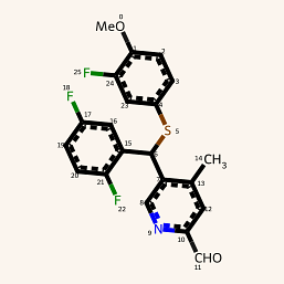 COc1ccc(SC(c2cnc(C=O)cc2C)c2cc(F)ccc2F)cc1F